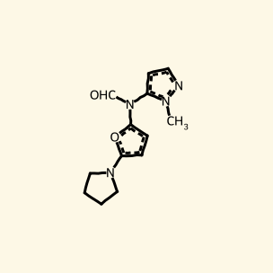 Cn1nccc1N(C=O)c1ccc(N2CCCC2)o1